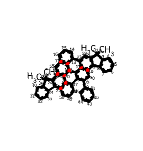 CC1(C)c2ccccc2-c2ccc(-c3ccccc3N(c3ccc4c(c3)C(C)(C)c3ccccc3-4)c3cccc(-c4ccccc4)c3-c3ccccc3-c3ccccc3)cc21